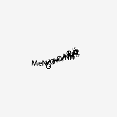 CNC(=O)COCCOCCNC(=O)CC1CCC1